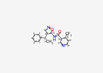 CC(c1ccccc1)c1cnoc1NC(=O)c1cnccc1C(F)(F)F